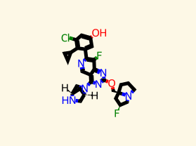 Oc1cc(Cl)c(C2CC2)c(-c2ncc3c(N4C[C@H]5C[C@@H]4CN5)nc(OC[C@@]45CCCN4C[C@H](F)C5)nc3c2F)c1